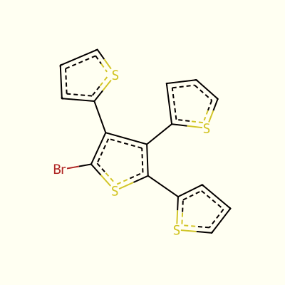 Brc1sc(-c2cccs2)c(-c2cccs2)c1-c1cccs1